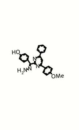 COc1ccc(-c2cc(-c3ccccc3)nc(C(=NN)c3ccc(O)cc3)n2)cc1